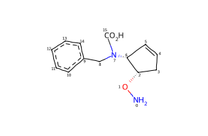 NO[C@H]1CC=C[C@H]1N(Cc1ccccc1)C(=O)O